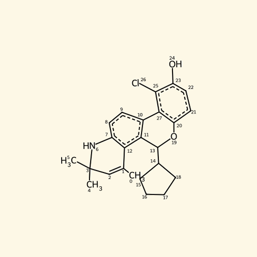 CC1=CC(C)(C)Nc2ccc3c(c21)C(C1CCCC1)Oc1ccc(O)c(Cl)c1-3